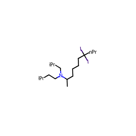 CCCC(I)(I)CCCCC(C)N(CCC(C)C)CC(C)C